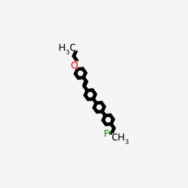 CCCCOC1CCC(/C=C/C2CCC(C3CCC(C4CCC(CC(C)F)CC4)CC3)CC2)CC1